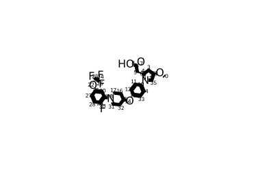 CO[C@@H]1C[C@H](CC(=O)O)N(c2ccc(OC3CCN(c4cc(OC(F)(F)F)ccc4F)CC3)cc2)C1